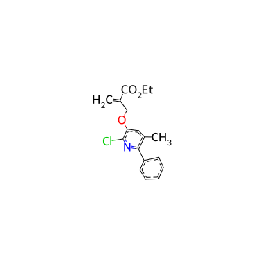 C=C(COc1cc(C)c(-c2ccccc2)nc1Cl)C(=O)OCC